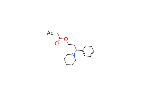 CC(=O)CC(=O)OCCC(c1ccccc1)N1CCCCC1